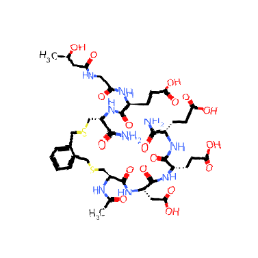 CC(=O)N[C@@H](CSCc1ccccc1CSC[C@H](NC(=O)[C@H](CCC(=O)O)NC(=O)CNC(=O)C[C@@H](C)O)C(N)=O)C(=O)N[C@@H](CC(=O)O)C(=O)N[C@@H](CCC(=O)O)C(=O)N[C@@H](CCC(=O)O)C(N)=O